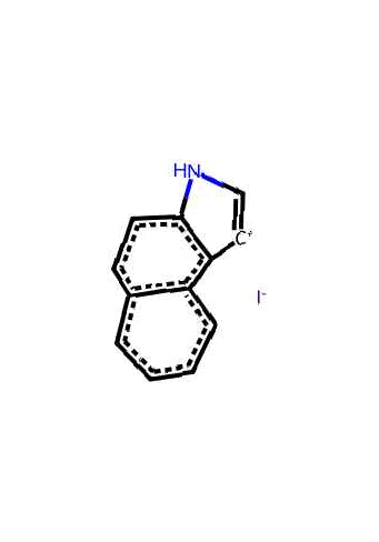 [C+]1=CNc2ccc3ccccc3c21.[I-]